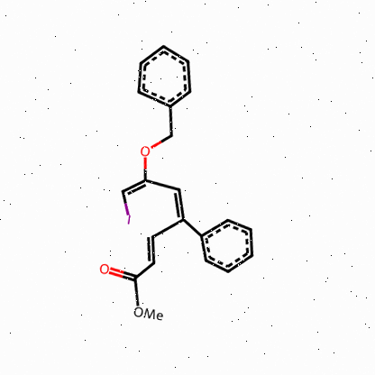 COC(=O)/C=C/C(=C\C(=C/I)OCc1ccccc1)c1ccccc1